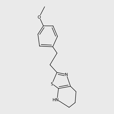 COc1ccc(CCc2nc3c(s2)NCCC3)cc1